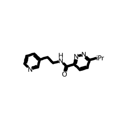 CC(C)c1ccc(C(=O)NCCc2cccnc2)nn1